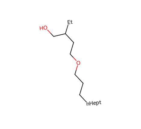 CCCCCCCCCCOCCC(CC)CO